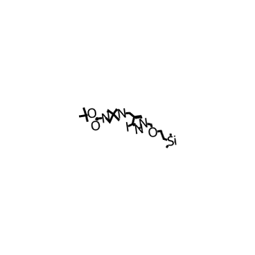 CC(C)(C)OC(=O)N1CC2(CN(Cc3cn(COCC[Si](C)(C)C)nc3I)C2)C1